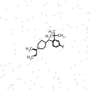 C=CC(=C)N1CCC(Cc2ccc(F)cc2C(C)(C)C)CC1